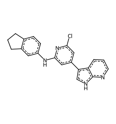 Clc1cc(-c2c[nH]c3ncccc23)cc(Nc2ccc3c(c2)CCC3)n1